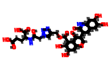 O=C(O)CC[C@H](NC(=O)Cn1cc(COC(=O)c2c(O)c(O)cc3occ(-c4cc5cc(O)c(O)cc5[nH]c4=O)c(=O)c23)nn1)C(=O)O